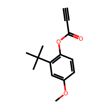 C#CC(=O)Oc1ccc(OC)cc1C(C)(C)C